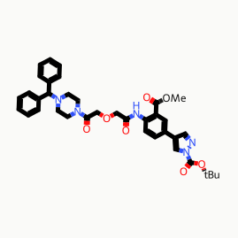 COC(=O)c1cc(-c2cnn(C(=O)OC(C)(C)C)c2)ccc1NC(=O)COCC(=O)N1CCN(C(c2ccccc2)c2ccccc2)CC1